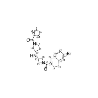 O=C(c1nccs1)N1CC[C@H](NC2CN(C(=O)N3CCC4C=C(Br)C=CC4C3)C2)C1